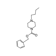 CCCCN1CCN(C(=O)OCc2ccccc2)CC1